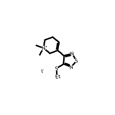 CCSc1nsnc1C1=CCC[N+](C)(C)C1.[I-]